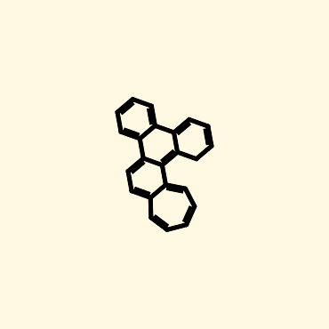 C1=CC=c2c(ccc3c2c2c(c4ccccc43)=CC=CC2)C=C1